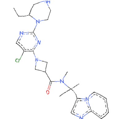 CCC1CNCCN1c1ncc(Cl)c(N2CC(C(=O)N(C)C(C)(C)c3cnc4ccccn34)C2)n1